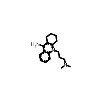 CN(C)CCC[n+]1c2c(c(N)c3ccccc31)CCCC2